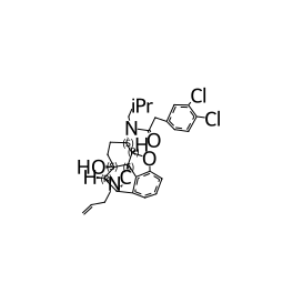 C=CCN1CC[C@]23c4c5cccc4O[C@H]2[C@@H](N(CC(C)C)C(=O)Cc2ccc(Cl)c(Cl)c2)CC[C@@]3(O)[C@H]1C5